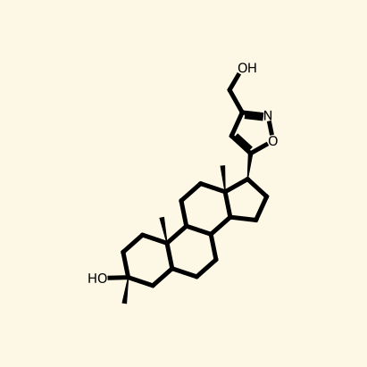 C[C@@]1(O)CC[C@@]2(C)C(CCC3C2CC[C@@]2(C)C3CC[C@@H]2c2cc(CO)no2)C1